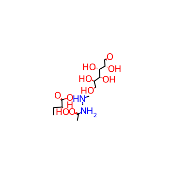 CC(N)=O.CCC(O)C(=O)O.CNC.O=C[C@H](O)[C@@H](O)[C@H](O)[C@H](O)CO